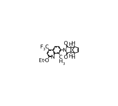 CCOc1cc(C(F)(F)F)c2ccc(N3C(=O)[C@@H]4[C@H](C3=O)[C@@H]3C=C[C@H]4C3)c(C)c2n1